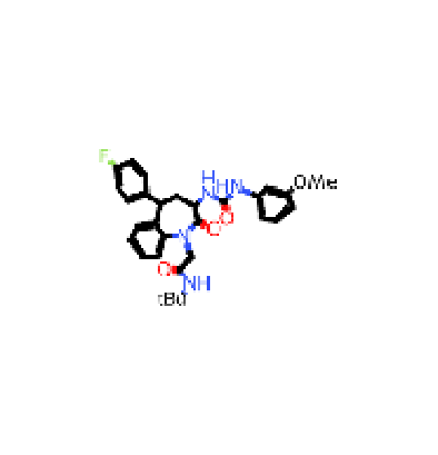 COc1cccc(NC(=O)NC2CC(c3ccc(F)cc3)c3ccccc3N(CC(=O)NC(C)(C)C)C2=O)c1